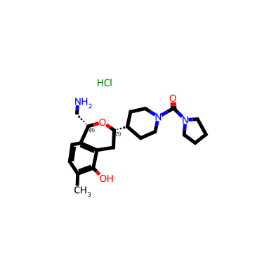 Cc1ccc2c(c1O)C[C@@H](C1CCN(C(=O)N3CCCC3)CC1)O[C@H]2CN.Cl